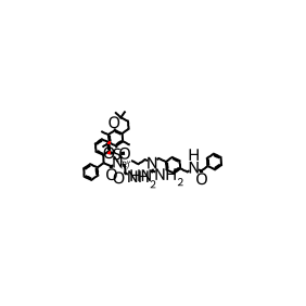 Cc1c(C)c(S(=O)(=O)N(C(=O)C(c2ccccc2)c2ccccc2)[C@H](CCCN(Cc2ccc(CNC(=O)c3ccccc3)cc2)C(=N)N)C(N)=O)c(C)c2c1OC(C)(C)CC2